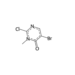 Cn1c(Cl)ncc(Br)c1=O